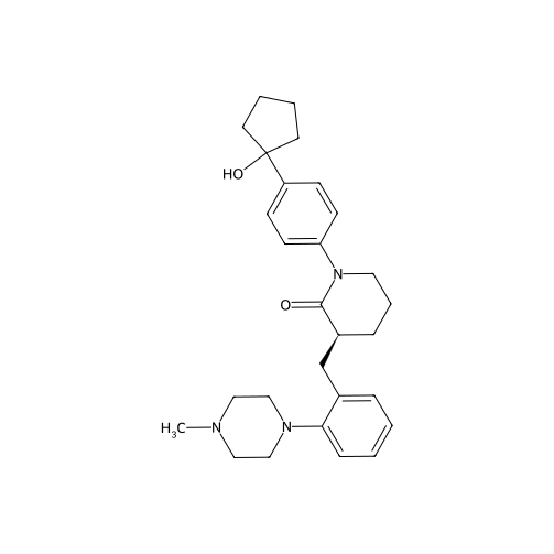 CN1CCN(c2ccccc2C[C@@H]2CCCN(c3ccc(C4(O)CCCC4)cc3)C2=O)CC1